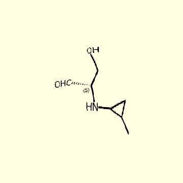 CC1CC1N[C@H](C=O)CO